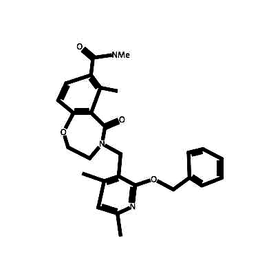 CNC(=O)c1ccc2c(c1C)C(=O)N(Cc1c(C)cc(C)nc1OCc1ccccc1)CCO2